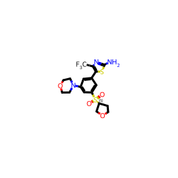 Nc1nc(C(F)(F)F)c(-c2cc(N3CCOCC3)cc(S(=O)(=O)[C@H]3CCOC3)c2)s1